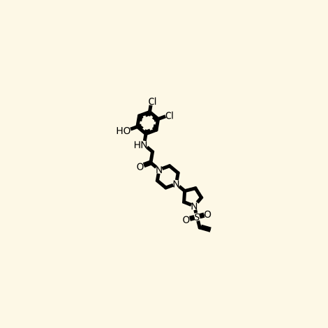 C=CS(=O)(=O)N1CCC(N2CCN(C(=O)CNc3cc(Cl)c(Cl)cc3O)CC2)C1